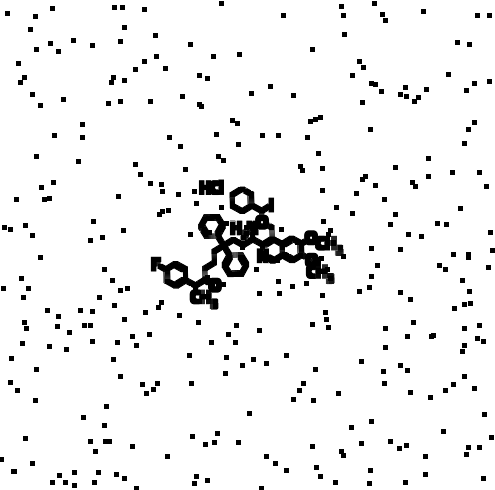 COc1cc2cnc(C(N)CCC(CCCC(=O)C(C)c3ccc(F)cc3)(c3ccccc3)c3ccccc3)c(COC(I)C3=CCCCC3)c2cc1OC.Cl